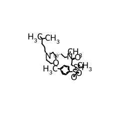 Cc1ccc(S(=O)(=O)[SH](C)CC(=O)N(C)CC[C@H]2CN(CCCC(C)C)CCO2)cc1